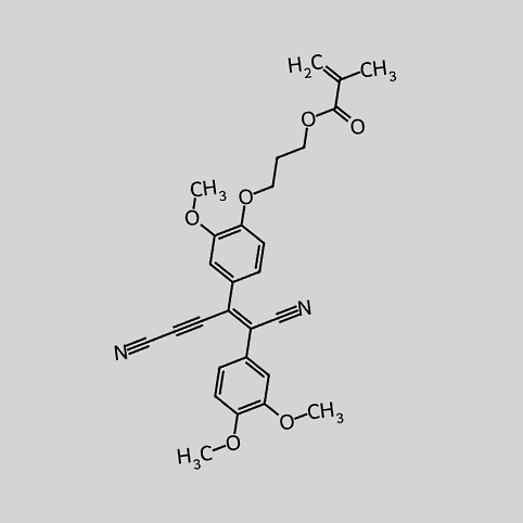 C=C(C)C(=O)OCCCOc1ccc(/C(C#CC#N)=C(\C#N)c2ccc(OC)c(OC)c2)cc1OC